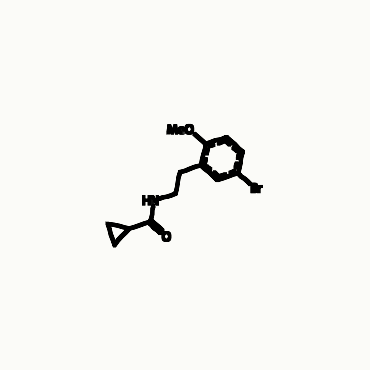 COc1ccc(Br)cc1CCNC(=O)C1CC1